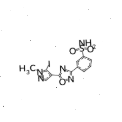 Cn1ncc(-c2nc(-c3cccc(S(N)(=O)=O)c3)no2)c1I